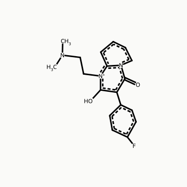 CN(C)CC[n+]1c(O)c(-c2ccc(F)cc2)c(=O)n2ccccc21